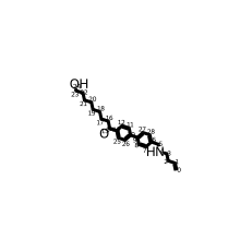 C=CCCNCc1ccc(-c2ccc(C(=O)CCCCCCCCO)cc2)cc1